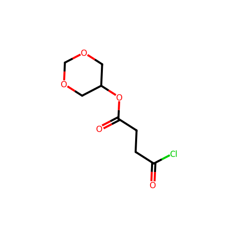 O=C(Cl)CCC(=O)OC1COCOC1